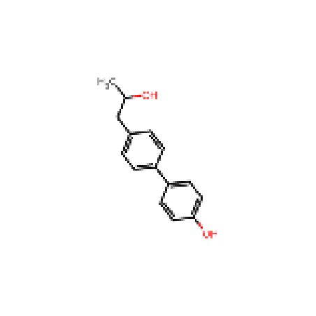 CC(O)Cc1ccc(-c2ccc(O)cc2)cc1